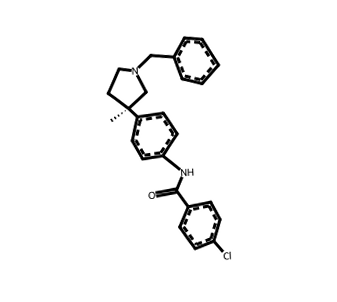 C[C@]1(c2ccc(NC(=O)c3ccc(Cl)cc3)cc2)CCN(Cc2ccccc2)C1